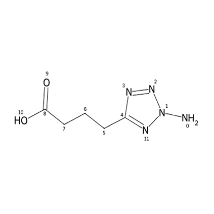 Nn1nnc(CCCC(=O)O)n1